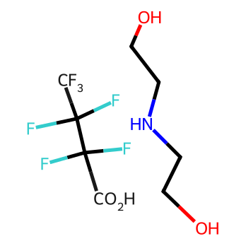 O=C(O)C(F)(F)C(F)(F)C(F)(F)F.OCCNCCO